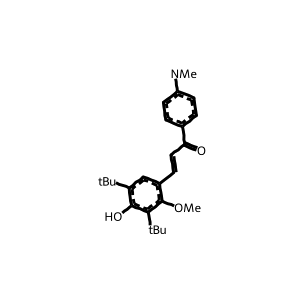 CNc1ccc(C(=O)C=Cc2cc(C(C)(C)C)c(O)c(C(C)(C)C)c2OC)cc1